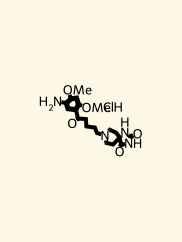 COc1cc(OC)c(C(=O)CCCCN2CCC3(CC2)NC(=O)NC3=O)cc1N.Cl